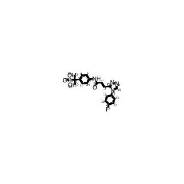 CC(C)(c1ccc(NC(=O)/C=C/c2nncn2-c2ccc(F)cc2)cc1)P(=O)(O)O